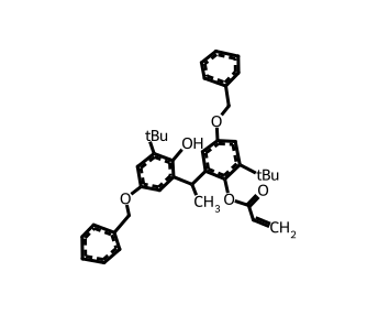 C=CC(=O)Oc1c(C(C)c2cc(OCc3ccccc3)cc(C(C)(C)C)c2O)cc(OCc2ccccc2)cc1C(C)(C)C